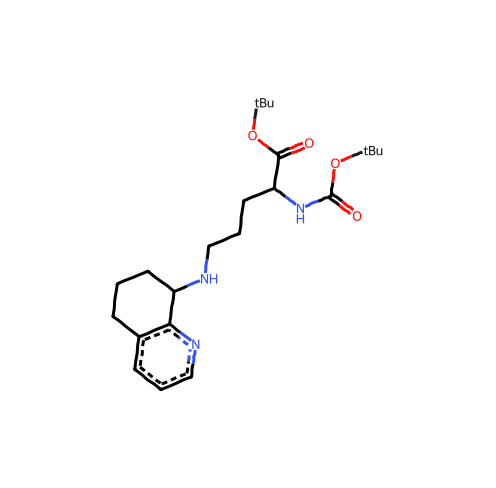 CC(C)(C)OC(=O)NC(CCCNC1CCCc2cccnc21)C(=O)OC(C)(C)C